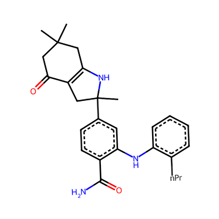 CCCc1ccccc1Nc1cc(C2(C)CC3=C(CC(C)(C)CC3=O)N2)ccc1C(N)=O